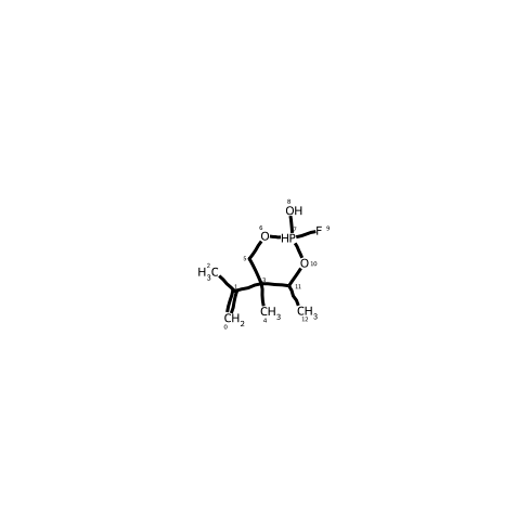 C=C(C)C1(C)CO[PH](O)(F)OC1C